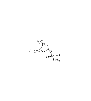 C[C@@H]1CC(OS(C)(=O)=O)C[C@@H]1C